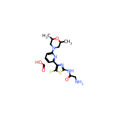 CC1CN(c2cccc(-c3nc(NC(=O)CN)sc3F)n2)CC(C)O1.O=CO